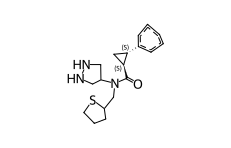 O=C([C@H]1C[C@@H]1c1ccccc1)N(CC1CCCS1)C1CNNC1